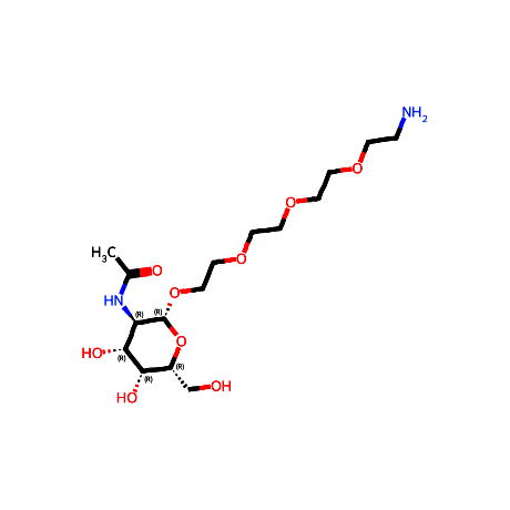 CC(=O)N[C@H]1[C@H](OCCOCCOCCOCCN)O[C@H](CO)[C@H](O)[C@@H]1O